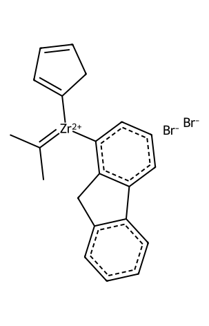 C[C](C)=[Zr+2]([C]1=CC=CC1)[c]1cccc2c1Cc1ccccc1-2.[Br-].[Br-]